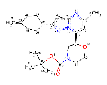 Cc1cc([C@@H]2CN(C(=O)OC(C)(C)C)CCO2)n2nc([C@H]3CC[C@H](C)CC3)cc2n1